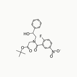 CC(C)(C)OC(=O)CN(CC(O)c1ccccc1)C(=O)c1cc([N+](=O)[O-])ccc1F